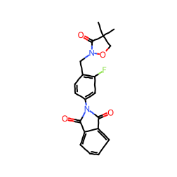 CC1(C)CON(Cc2ccc(N3C(=O)c4ccccc4C3=O)cc2F)C1=O